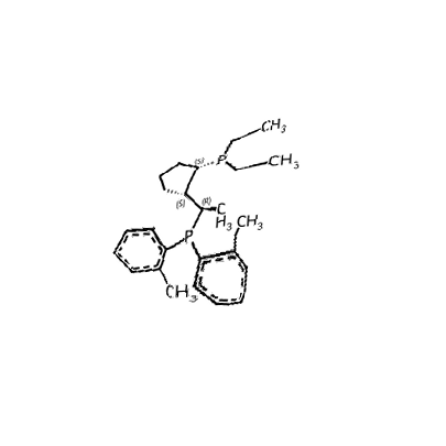 CCP(CC)[C@H]1CCC[C@H]1[C@@H](C)P(c1ccccc1C)c1ccccc1C